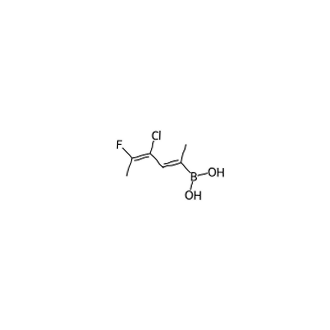 C/C(=C\C(Cl)=C(/C)F)B(O)O